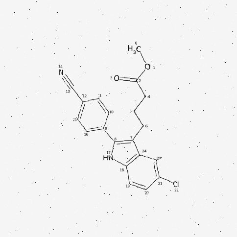 COC(=O)CCCc1c(-c2ccc(C#N)cc2)[nH]c2ccc(Cl)cc12